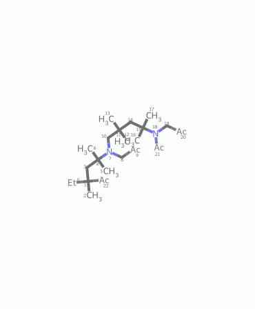 CCC(C)(CC(C)(C)N(CC(C)=O)CC(C)(C)CC(C)(C)N(CC(C)=O)C(C)=O)C(C)=O